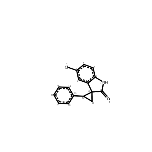 O=C1Nc2ccc(Cl)cc2C12CC2c1ccccc1